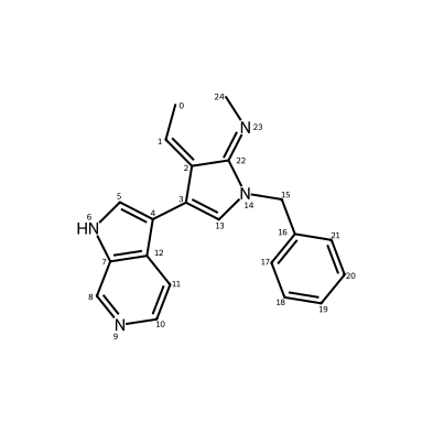 C/C=C1/C(c2c[nH]c3cnccc23)=CN(Cc2ccccc2)/C1=N/C